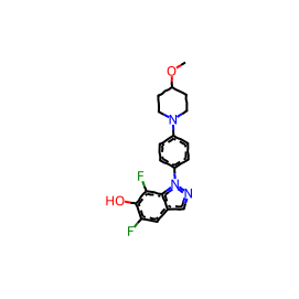 COC1CCN(c2ccc(-n3ncc4cc(F)c(O)c(F)c43)cc2)CC1